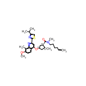 C=CCCCCN(C)C(=O)[C@@H]1C[C@H](Oc2cc(-c3nc(C(C)C)cs3)nc3c(C)c(OC)ccc23)C[C@H]1C